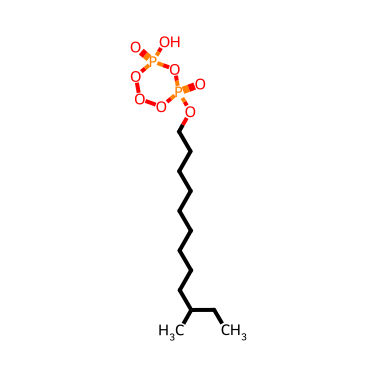 CCC(C)CCCCCCCCCOP1(=O)OOOP(=O)(O)O1